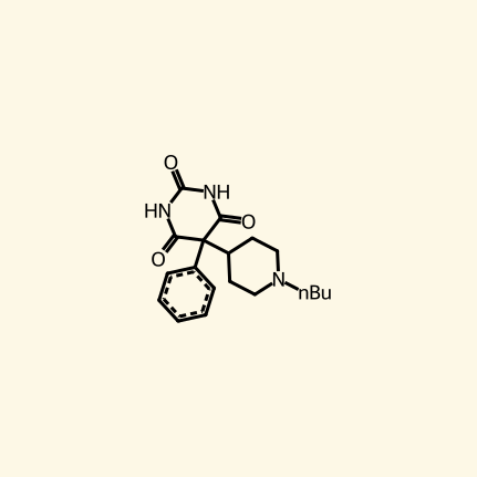 CCCCN1CCC(C2(c3ccccc3)C(=O)NC(=O)NC2=O)CC1